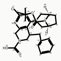 CC(C)(C)OC(=O)N1[C@@H]2CC[C@H]1CN(c1nc(Cl)nc3c1C(Cc1ccccc1)CN(C(=O)O)C3)C2